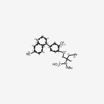 CCCCN(C(=O)O)C(C)(COc1ccc(-c2ccnc3cc(C#N)ccc23)cc1C(F)(F)F)CC(C)C